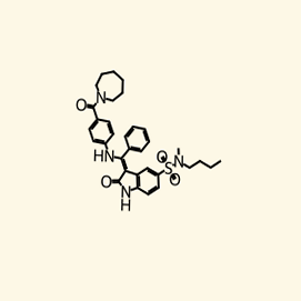 CCCCN(C)S(=O)(=O)c1ccc2c(c1)/C(=C(/Nc1ccc(C(=O)N3CCCCCC3)cc1)c1ccccc1)C(=O)N2